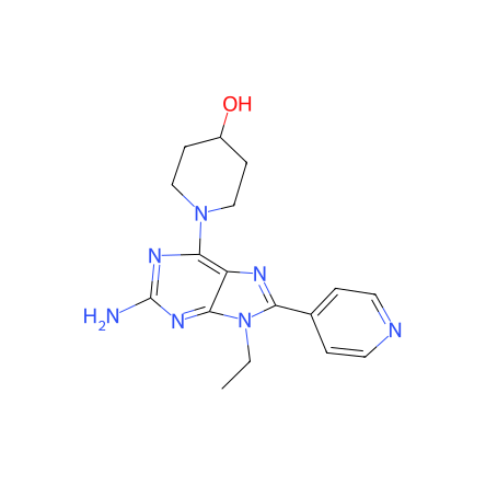 CCn1c(-c2ccncc2)nc2c(N3CCC(O)CC3)nc(N)nc21